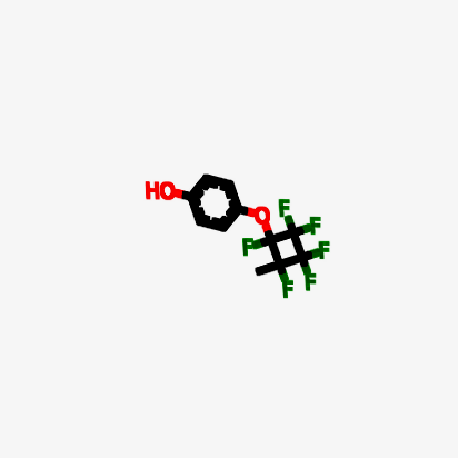 CC1(F)C(F)(F)C(F)(F)C1(F)Oc1ccc(O)cc1